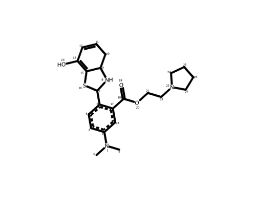 CN(C)c1ccc(C2NC3CC=CC(O)=C3S2)c(C(=O)OCCN2CCCC2)c1